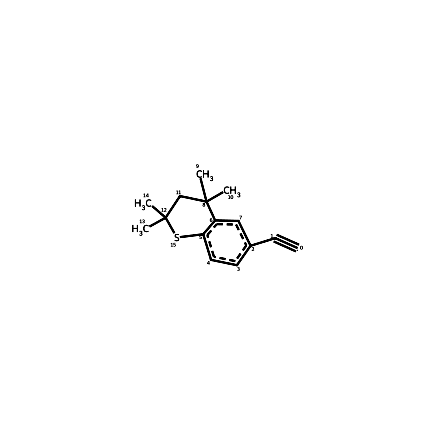 [C]#Cc1ccc2c(c1)C(C)(C)CC(C)(C)S2